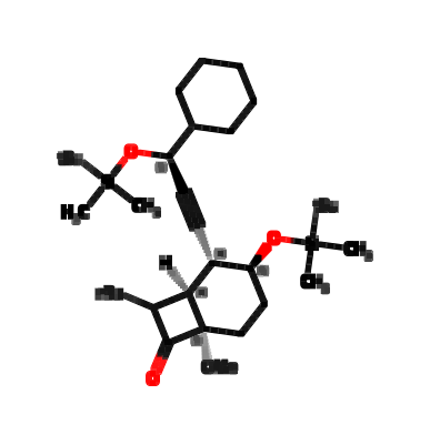 CCCCC1C(=O)[C@]2(OC)CC[C@H](O[Si](C)(C)C(C)(C)C)[C@@H](C#C[C@@H](O[Si](C)(C)C(C)(C)C)C3CCCCC3)[C@H]12